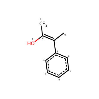 CC(=C(O)C(F)(F)F)c1ccccc1